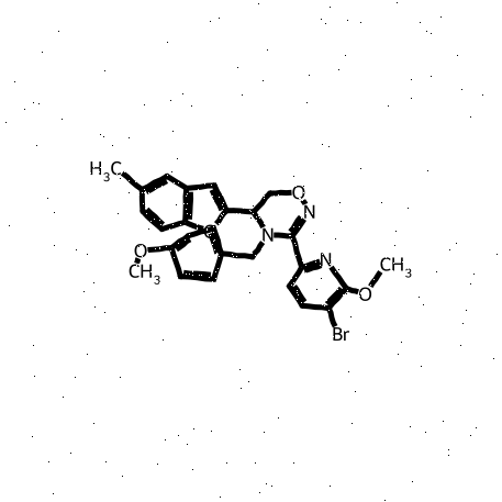 COc1ccc(CN2C(c3ccc(Br)c(OC)n3)=NOCC2c2cc3cc(C)ccc3o2)cc1